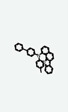 Cc1ccc(N(c2ccc(-c3ccccc3)cc2)c2cccc3ccc4c5ccccc5oc4c23)cc1